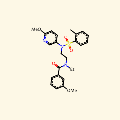 CCN(CCN(c1ccc(OC)nc1)S(=O)(=O)c1ccccc1C)C(=O)c1cccc(OC)c1